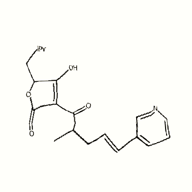 CC(C)CC1OC(=O)C(C(=O)C(C)CC=Cc2cccnc2)=C1O